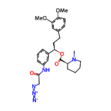 COc1ccc(CC[C@@H](OC(=O)[C@@H]2CCCCN2C)c2cccc(NC(=O)CN=[N+]=[N-])c2)cc1OC